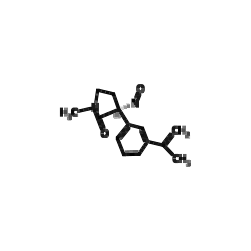 C=C(C)c1cccc([C@]2(N=O)CCN(C)C2=O)c1